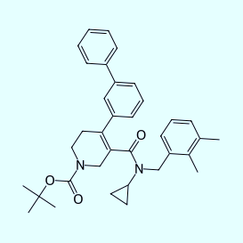 Cc1cccc(CN(C(=O)C2=C(c3cccc(-c4ccccc4)c3)CCN(C(=O)OC(C)(C)C)C2)C2CC2)c1C